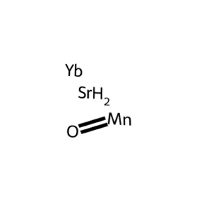 [O]=[Mn].[SrH2].[Yb]